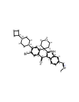 C/N=C\c1ccc2c3c([nH]c2c1)C1(CCOCC1)c1cc(N2CCN(C4CCC4)CC2)c(Br)cc1C3=O